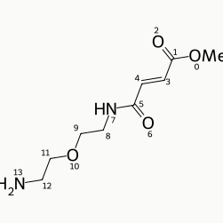 COC(=O)/C=C/C(=O)NCCOCCN